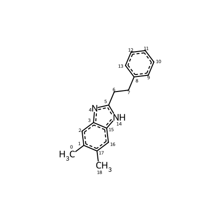 Cc1cc2nc(CCc3ccccc3)[nH]c2cc1C